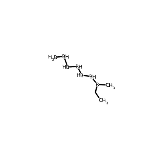 BBBBBBB(C)CC